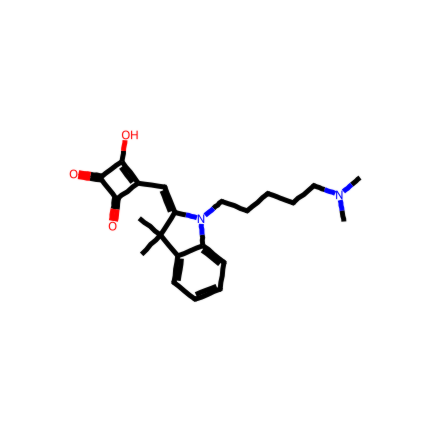 CN(C)CCCCCN1/C(=C/c2c(O)c(=O)c2=O)C(C)(C)c2ccccc21